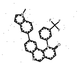 Cn1ccc2cc(-c3ccc4ncc5ccc(=O)n(-c6cccc(C(F)(F)F)c6)c5c4c3)ccc21